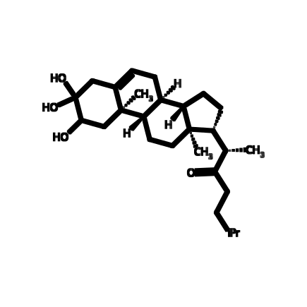 CC(C)CCC(=O)[C@@H](C)[C@H]1CC[C@H]2[C@@H]3CC=C4CC(O)(O)C(O)C[C@]4(C)[C@H]3CC[C@]12C